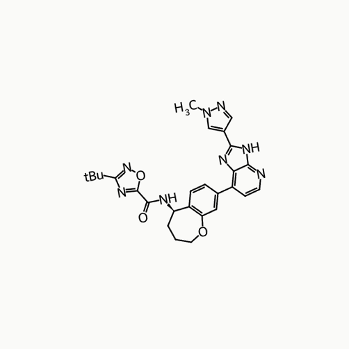 Cn1cc(-c2nc3c(-c4ccc5c(c4)OCCC[C@H]5NC(=O)c4nc(C(C)(C)C)no4)ccnc3[nH]2)cn1